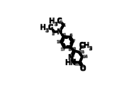 CCN(CC)c1ccc(C2=NNC(=O)C[C@H]2C)cc1